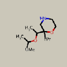 CCCC1(C(C)OC(C)OC)CNCCO1